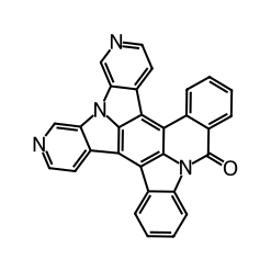 O=c1c2ccccc2c2c3c4ccncc4n4c5cnccc5c(c5c6ccccc6n1c25)c34